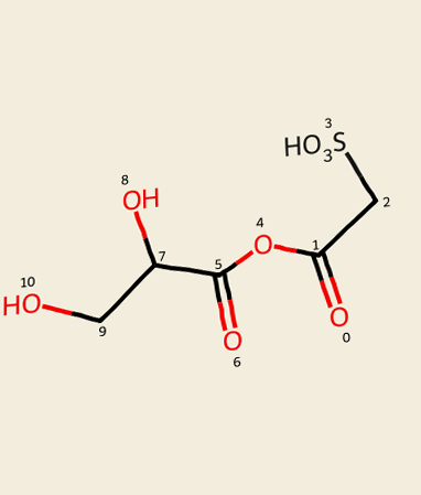 O=C(CS(=O)(=O)O)OC(=O)C(O)CO